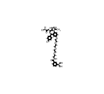 CCNC(=O)C[C@@H]1N=C(c2ccc(Cl)cc2)c2cc(OCCOCCOCCOCCNC(=O)c3cccc(B(O)O)c3)ccc2N2C(C)NNC12